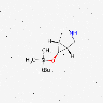 CC(C)(C)[Si](C)(C)O[C@H]1[C@@H]2CNC[C@@H]21